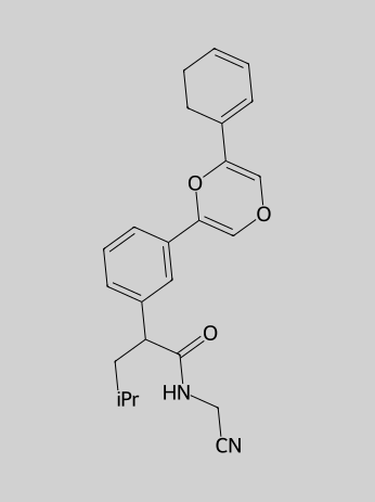 CC(C)CC(C(=O)NCC#N)c1cccc(C2=COC=C(C3=CC=CCC3)O2)c1